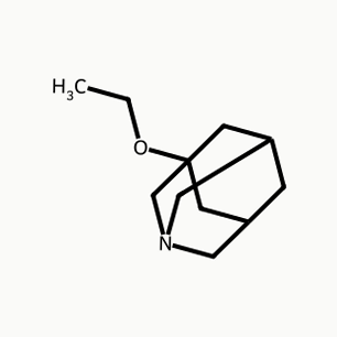 CCOC12CC3CC(CN(C3)C1)C2